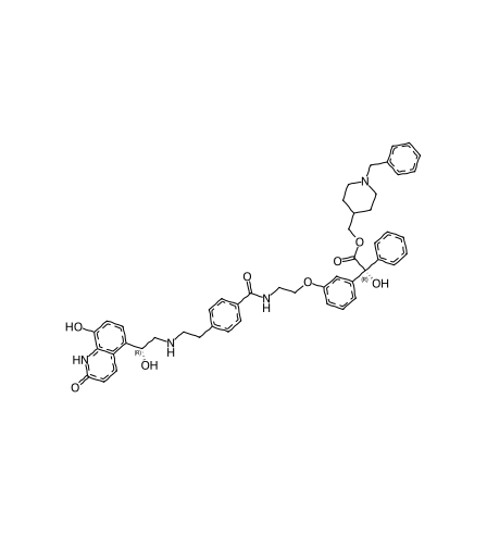 O=C(NCCOc1cccc([C@@](O)(C(=O)OCC2CCN(Cc3ccccc3)CC2)c2ccccc2)c1)c1ccc(CCNC[C@H](O)c2ccc(O)c3[nH]c(=O)ccc23)cc1